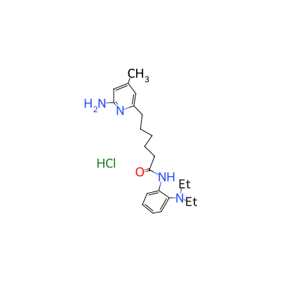 CCN(CC)c1ccccc1NC(=O)CCCCCc1cc(C)cc(N)n1.Cl